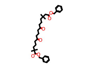 CC(C)(CCCC(=O)CCCC(=O)CCCC(C)(C)C(=O)OCc1ccccc1)CC(=O)OCc1ccccc1